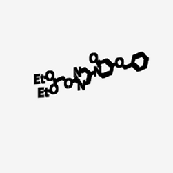 CCOC(COc1ncc(-n2ccc(OCc3ccccc3)cc2=O)cn1)OCC